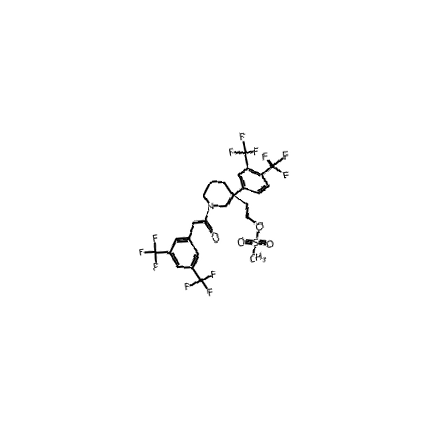 CS(=O)(=O)OCC[C@]1(c2ccc(C(F)(F)F)c(C(F)(F)F)c2)CCCN(C(=O)Cc2cc(C(F)(F)F)cc(C(F)(F)F)c2)C1